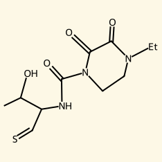 CCN1CCN(C(=O)NC(C=S)C(C)O)C(=O)C1=O